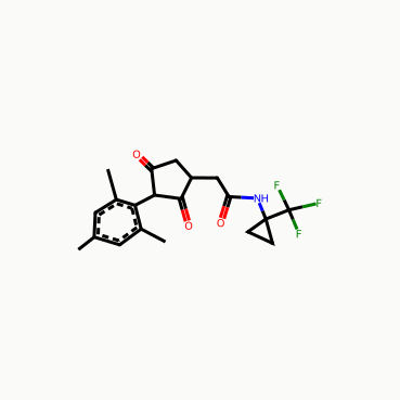 Cc1cc(C)c(C2C(=O)CC(CC(=O)NC3(C(F)(F)F)CC3)C2=O)c(C)c1